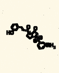 N[n+]1cccc(S(=O)(=O)N2CC(=O)C3C2CCN3C(=O)[CH]Cc2cccc(O)c2)c1